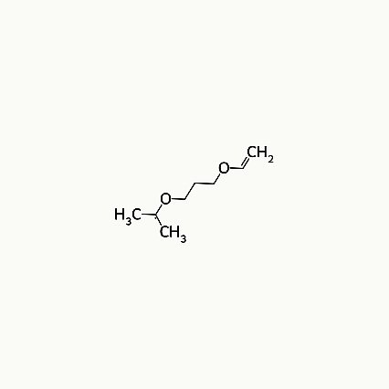 C=COCCCO[C](C)C